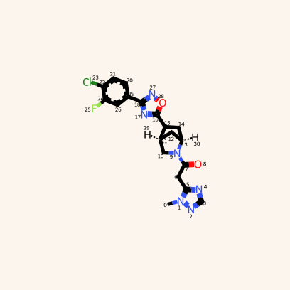 Cn1ncnc1CC(=O)N1C[C@@H]2C[C@H]1CC2c1nc(-c2ccc(Cl)c(F)c2)no1